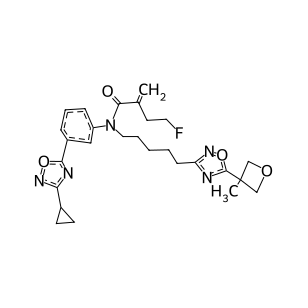 C=C(CCF)C(=O)N(CCCCCc1noc(C2(C)COC2)n1)c1cccc(-c2nc(C3CC3)no2)c1